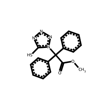 COC(=O)C(c1ccccc1)(c1ccccc1)n1nnnc1S